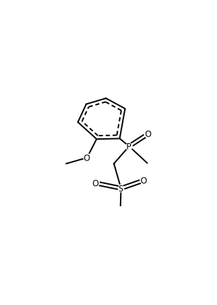 COc1ccccc1P(C)(=O)CS(C)(=O)=O